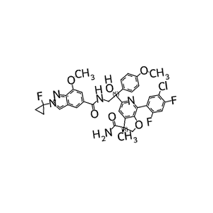 COc1ccc([C@](O)(CNC(=O)c2cc(OC)c3nn(C4(F)CC4)cc3c2)c2cc3c(c(-c4cc(Cl)c(F)cc4F)n2)OC[C@]3(C)C(N)=O)cc1